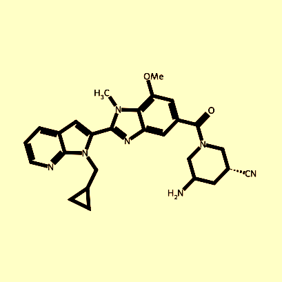 COc1cc(C(=O)N2CC(N)C[C@@H](C#N)C2)cc2nc(-c3cc4cccnc4n3CC3CC3)n(C)c12